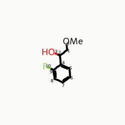 COCC(O)c1ccccc1F